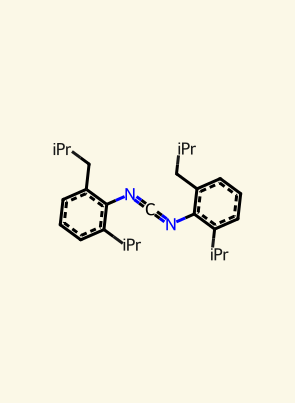 CC(C)Cc1cccc(C(C)C)c1N=C=Nc1c(CC(C)C)cccc1C(C)C